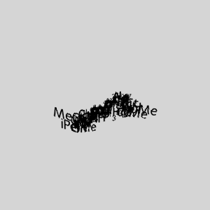 CCC[C@H](C)N(Cc1nc2ccc3cc4c(cc3c2[nH]1)OCc1cc(-c2cnc([C@@H]3CC[C@H](CC)N3C(=O)[C@@H](NC(=O)OC)[C@@H](C)OC)[nH]2)ccc1-4)C(=O)[C@@H](NC(=O)OC)[C@@H](C)OC